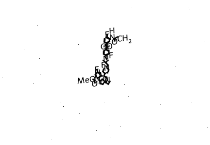 C=CC(=O)Nc1cc(S(=O)(=O)c2ccc(N3CC(F)(CN4CCC(C(CN5CCC5)(c5cccc(F)c5)[C@H]5CCC[C@@H]5NC(=O)OC)CC4)C3)c(F)c2)ccc1F